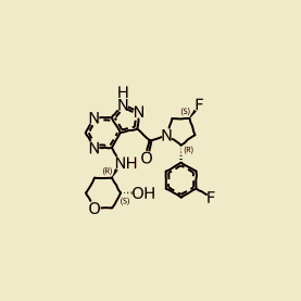 O=C(c1n[nH]c2ncnc(N[C@@H]3CCOC[C@H]3O)c12)N1C[C@@H](F)C[C@@H]1c1cccc(F)c1